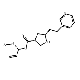 C=CC(OC(=O)[C@@H]1CN[C@H](CCc2cccnc2)C1)SC(C)=O